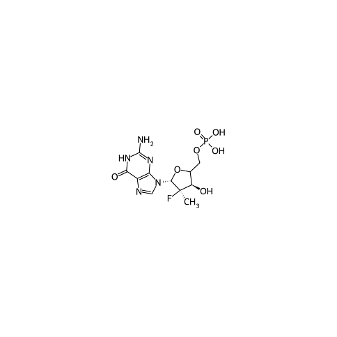 C[C@@]1(F)[C@H](O)C(COP(=O)(O)O)O[C@H]1n1cnc2c(=O)[nH]c(N)nc21